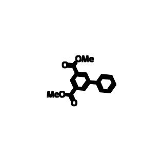 COC(=O)c1cc(C(=O)OC)cc(-c2ccccc2)c1